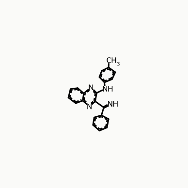 Cc1ccc(Nc2nc3ccccc3nc2C(=N)c2ccccc2)cc1